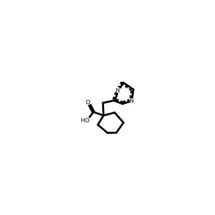 O=C(O)C1(Cc2cnccn2)CCCCC1